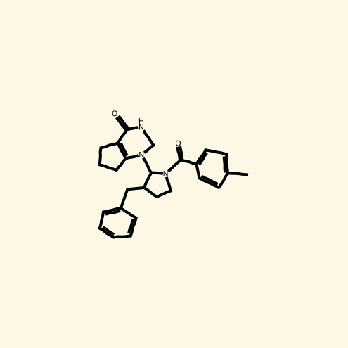 Cc1ccc(C(=O)N2CCC(Cc3ccccc3)C2N2CNC(=O)C3=C2CCC3)cc1